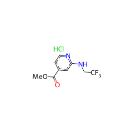 COC(=O)c1ccnc(NCC(F)(F)F)c1.Cl